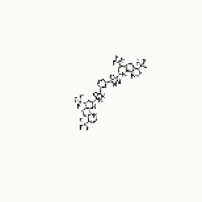 FC(F)(F)c1ccnc2c1ccc1c(C(F)(F)F)cc(-c3nnc(-c4cccc(-c5nnc(-c6cc(C(F)(F)F)c7ccc8c(C(F)(F)F)ccnc8c7n6)o5)c4)o3)nc12